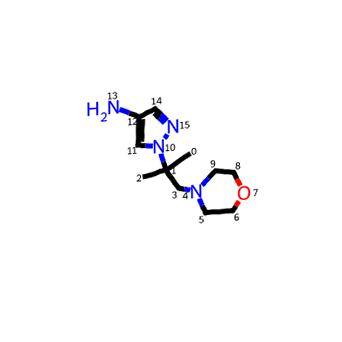 CC(C)(CN1CCOCC1)n1cc(N)cn1